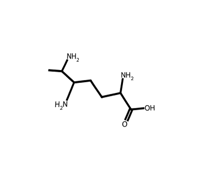 CC(N)C(N)CCC(N)C(=O)O